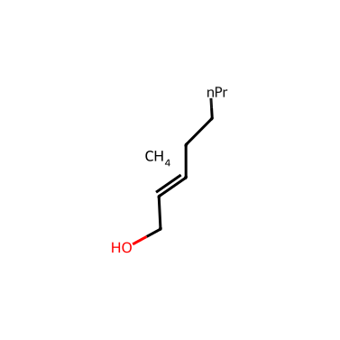 C.CCCCCC=CCO